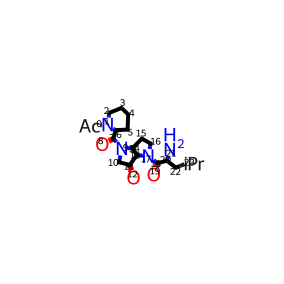 CC(=O)N1CCCCC1C(=O)N1CC(=O)C2C1CCN2C(=O)C(N)CC(C)C